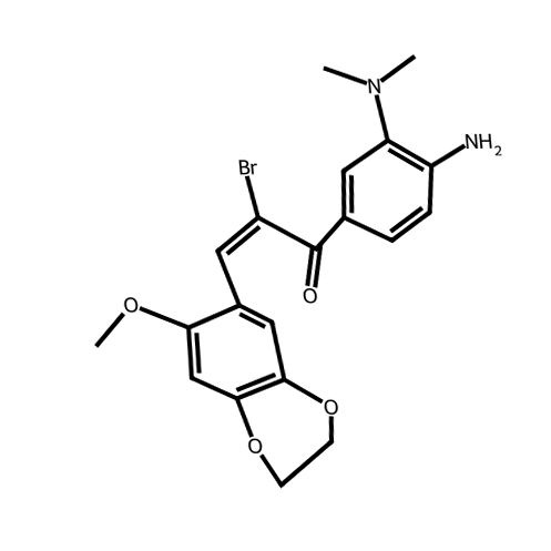 COc1cc2c(cc1/C=C(/Br)C(=O)c1ccc(N)c(N(C)C)c1)OCCO2